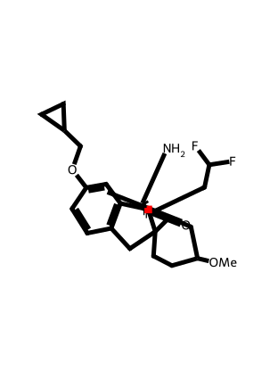 COC1CCC2(CC1)Cc1ccc(OCC3CC3)cc1C21N=C(N)N(CC(F)F)C1=O